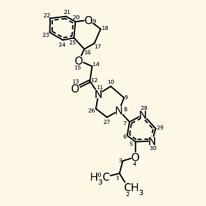 CC(C)COc1cc(N2CCN(C(=O)COC3CCOc4ccccc43)CC2)ncn1